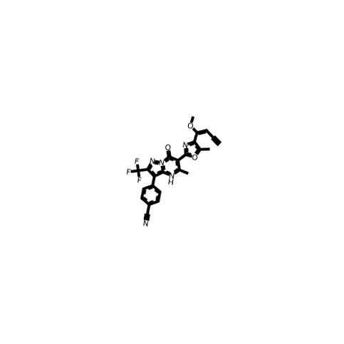 C#C/C=C(/OC)c1nc(-c2c(C)[nH]c3c(-c4ccc(C#N)cc4)c(C(F)(F)F)nn3c2=O)oc1C